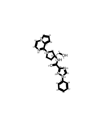 O=C(N[C@@]1(CO)CCN(c2nccn3cccc23)C1)c1ncn(-c2ccccc2)n1